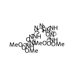 COCC[C@H](NC(=O)OC)C(=O)N1CCC[C@H]1c1ncc(-c2cnc(-c3ncc(C4=CNC([C@@H]5CCCN5C(=O)[C@H](CCOC)NC(=O)OC)N4)s3)s2)[nH]1